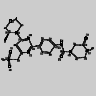 C[C@H]1COCCN1c1cc(CS(C)(=O)=O)nc(-c2ccc(NC(=O)N3CCN(C)C(=O)C3)cc2)n1